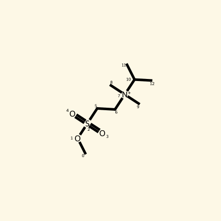 COS(=O)(=O)CC[N+](C)(C)C(C)C